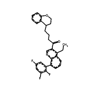 CCc1c(C(=O)CCCC2CCOc3ccccc32)cnc2c(-c3cc(F)cc(F)c3F)cccc12